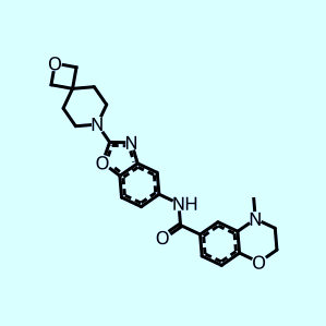 CN1CCOc2ccc(C(=O)Nc3ccc4oc(N5CCC6(CC5)COC6)nc4c3)cc21